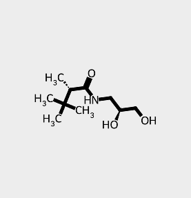 C[C@H](C(=O)NC[C@H](O)CO)C(C)(C)C